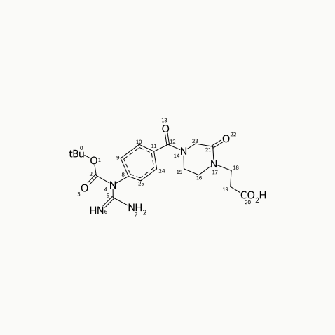 CC(C)(C)OC(=O)N(C(=N)N)c1ccc(C(=O)N2CCN(CCC(=O)O)C(=O)C2)cc1